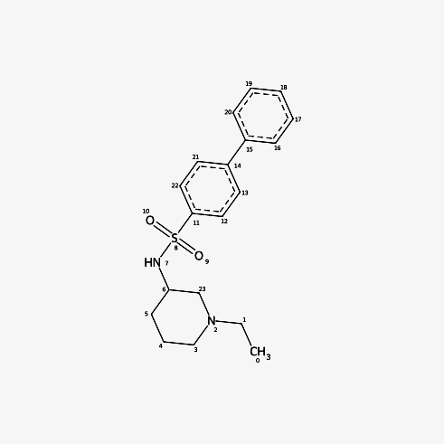 CCN1CCCC(NS(=O)(=O)c2ccc(-c3ccccc3)cc2)C1